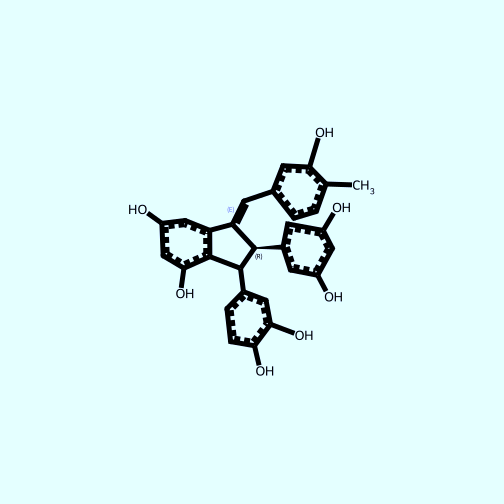 Cc1ccc(/C=C2/c3cc(O)cc(O)c3C(c3ccc(O)c(O)c3)[C@@H]2c2cc(O)cc(O)c2)cc1O